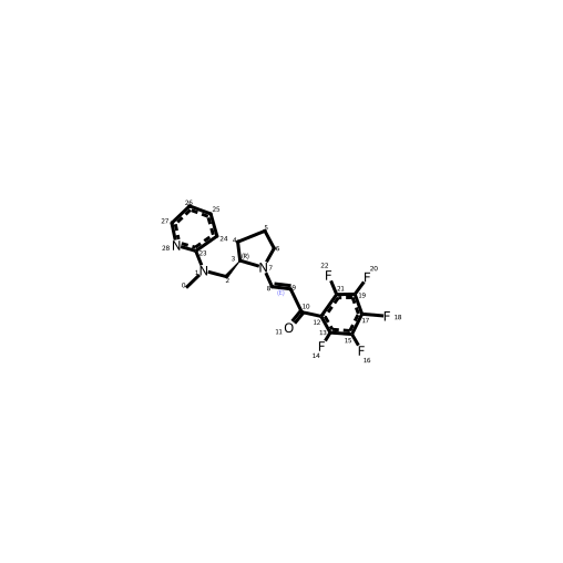 CN(C[C@H]1CCCN1/C=C/C(=O)c1c(F)c(F)c(F)c(F)c1F)c1ccccn1